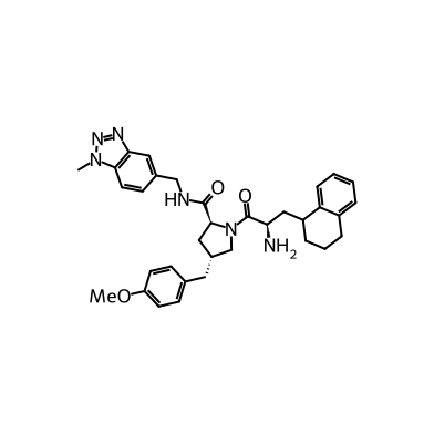 COc1ccc(C[C@@H]2C[C@@H](C(=O)NCc3ccc4c(c3)nnn4C)N(C(=O)[C@H](N)CC3CCCc4ccccc43)C2)cc1